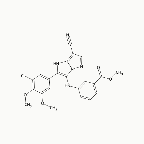 COC(=O)c1cccc(Nc2c(-c3cc(Cl)c(OC)c(OC)c3)[nH]c3c(C#N)cnn23)c1